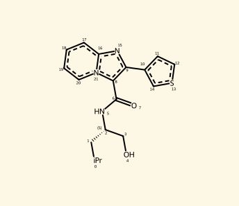 CC(C)C[C@@H](CO)NC(=O)c1c(-c2ccsc2)nc2ccccn12